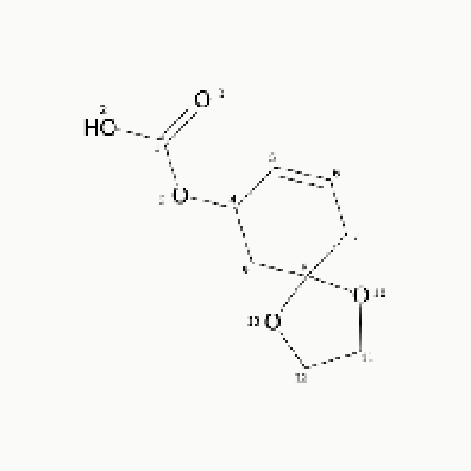 O=C(O)OC1C=CCC2(C1)OCCO2